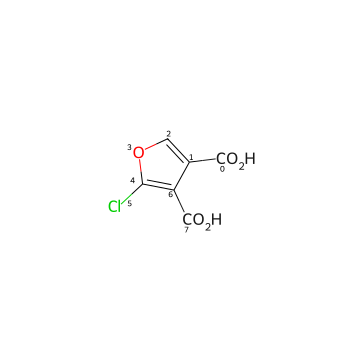 O=C(O)c1coc(Cl)c1C(=O)O